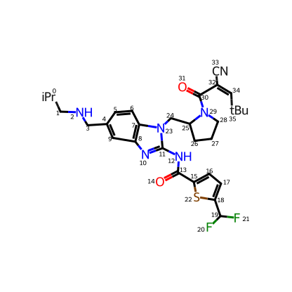 CC(C)CNCc1ccc2c(c1)nc(NC(=O)c1ccc(C(F)F)s1)n2CC1CCCN1C(=O)C(C#N)=CC(C)(C)C